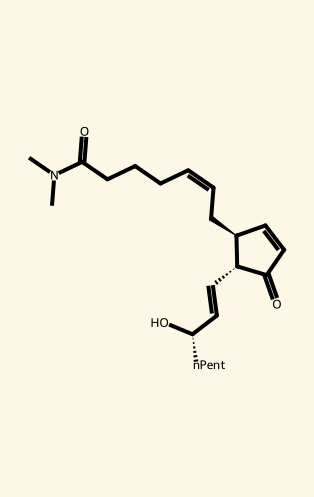 CCCCC[C@H](O)/C=C/[C@H]1C(=O)C=C[C@@H]1C/C=C\CCCC(=O)N(C)C